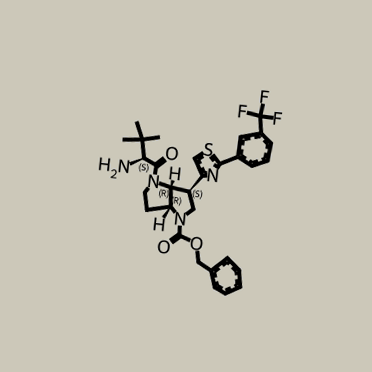 CC(C)(C)[C@H](N)C(=O)N1CC[C@@H]2[C@H]1[C@@H](c1csc(-c3cccc(C(F)(F)F)c3)n1)CN2C(=O)OCc1ccccc1